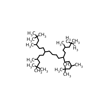 CC(CCC(CCCCC(CCC(C)CC(C)(C)C)CCC(C)CC(C)(C)C)CCC(C)CC(C)(C)C)CC(C)(C)C